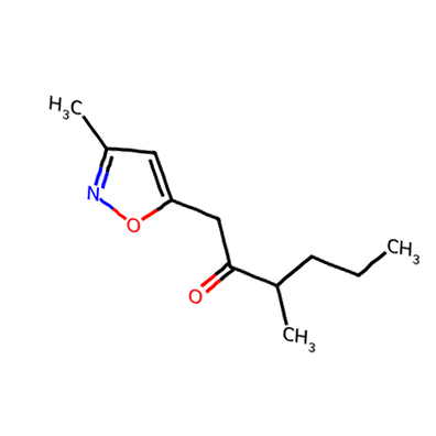 CCCC(C)C(=O)Cc1cc(C)no1